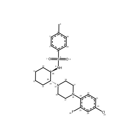 Cc1ccc(S(=O)(=O)N[C@@H]2CCCC[C@H]2N2CCN(c3ccc(Cl)cc3F)CC2)cc1